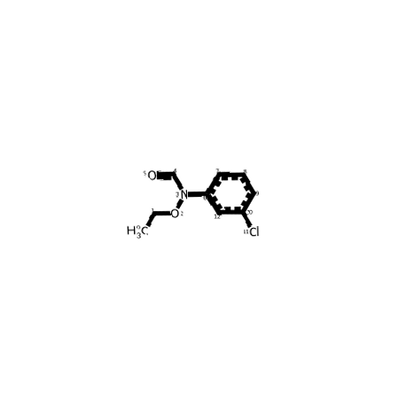 CCON(C=O)c1cc[c]c(Cl)c1